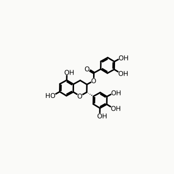 O=C(OC1Cc2c(O)cc(O)cc2O[C@H]1c1cc(O)c(O)c(O)c1)c1ccc(O)c(O)c1